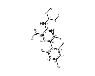 CCC(CC)Nc1nc(C)c(-c2c(C)cc(C)cc2C)nc1SC